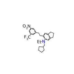 CCN(CC1CCCC1)c1cc2c(cc1CCc1cc([N+](=O)[O-])cc(C(F)(F)F)c1)CCC2